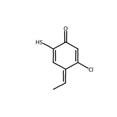 CC=C1C=C(S)C(=O)C=C1Cl